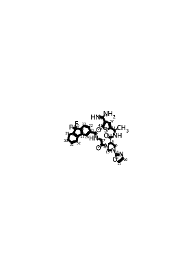 C[C@@H](NC(=O)[C@@H]1CN(c2ncco2)CN1C(=O)CNC(=O)c1ccc2c(c1)C1=C(CCC=C1)C2(F)F)c1cc(C(=N)N)cs1